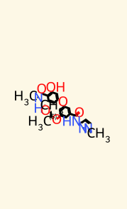 CNC(=O)c1ccc(Oc2cc(O[C@@H](C)COC)cc(C(=O)Nc3ccn(C)n3)c2)cc1O